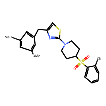 COc1cc(Cc2csc(N3CCC(S(=O)(=O)c4ccccc4C#N)CC3)n2)cc(OC)c1